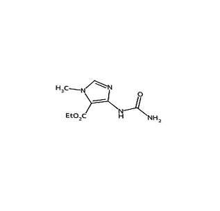 CCOC(=O)c1c(NC(N)=O)ncn1C